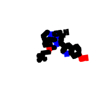 CC(C)(C)[C@]1(c2ncc(-c3cnc4cc(O)ccc4c3)n2COCC[Si](C)(C)C)CCCN1C(=O)O